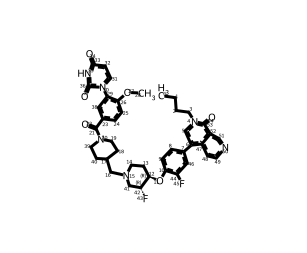 CCCCn1cc(-c2ccc(O[C@@H]3CCN(CC4CCN(C(=O)c5ccc(OC)c(-n6ccc(=O)[nH]c6=O)c5)CC4)C[C@H]3F)c(F)c2)c2ccncc2c1=O